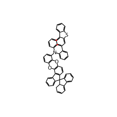 C1=CCC2C(=C1)c1ccccc1C21c2ccccc2-c2c1ccc1c2Oc2cccc(N(c3ccccc3)c3ccccc3-c3ccc4c(c3)sc3ccccc34)c2O1